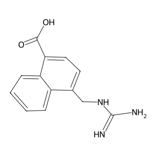 N=C(N)NCc1ccc(C(=O)O)c2ccccc12